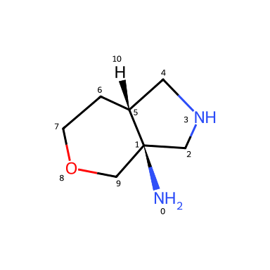 N[C@]12CNC[C@H]1CCOC2